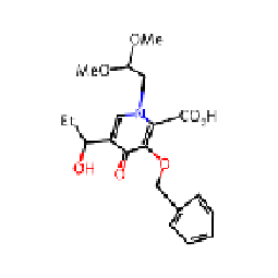 CCC(O)c1cn(CC(OC)OC)c(C(=O)O)c(OCc2ccccc2)c1=O